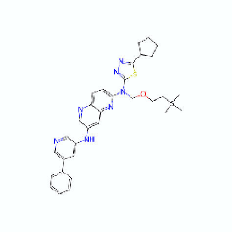 C[Si](C)(C)CCOCN(c1ccc2ncc(Nc3cncc(-c4ccccc4)c3)cc2n1)c1nnc(C2CCCC2)s1